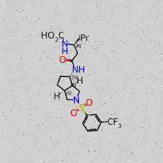 CC(C)[C@@H](CC(=O)N[C@H]1CC[C@@H]2CN(S(=O)(=O)c3cccc(C(F)(F)F)c3)C[C@@H]21)NC(=O)O